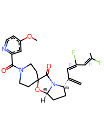 C=C(/C=C(F)\C=C(/C)F)[C@@H]1CC[C@H]2OC3(CCN(C(=O)c4cc(OC)ccn4)CC3)C(=O)N21